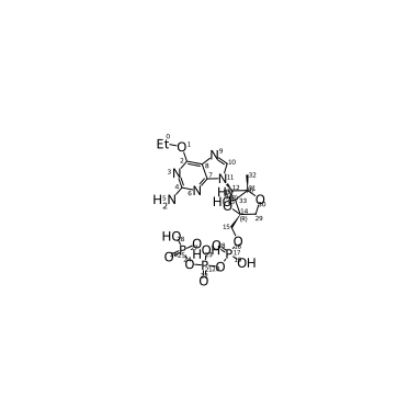 CCOc1nc(N)nc2c1ncn2[C@@H]1O[C@@]2(COP(=O)(O)OP(=O)(O)OP(=O)(O)O)CO[C@]1(C)[C@@H]2O